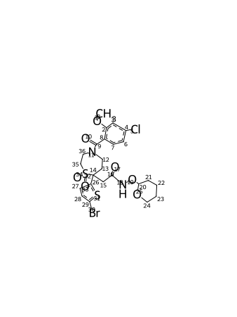 COc1cc(Cl)ccc1C(=O)N1CCC(CC(=O)NOC2CCCCO2)(c2ccc(Br)s2)S(=O)(=O)CC1